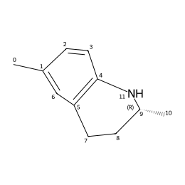 Cc1ccc2c(c1)CC[C@@H](C)N2